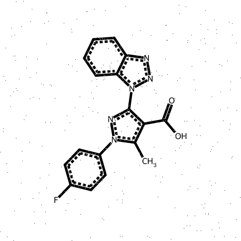 Cc1c(C(=O)O)c(-n2nnc3ccccc32)nn1-c1ccc(F)cc1